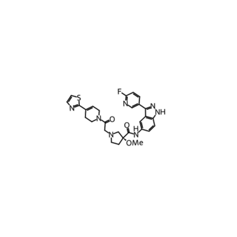 CO[C@@]1(C(=O)Nc2ccc3[nH]nc(-c4ccc(F)nc4)c3c2)CCN(CC(=O)N2CC=C(c3nccs3)CC2)C1